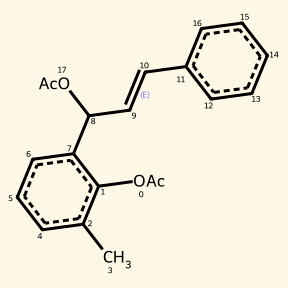 CC(=O)Oc1c(C)cccc1C(/C=C/c1ccccc1)OC(C)=O